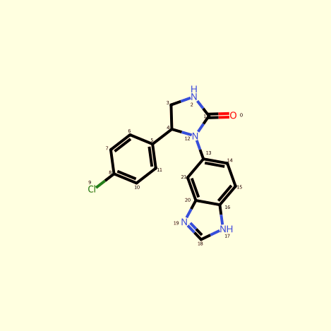 O=C1NCC(c2ccc(Cl)cc2)N1c1ccc2[nH]cnc2c1